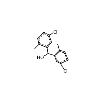 Cc1ccc(Cl)cc1C(O)c1cc(Cl)ccc1C